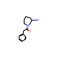 [NH]C1CCCCN(C(=O)Cc2ccccc2)C1